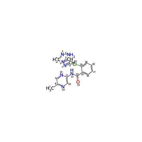 C#N.C#N.C=NN.Cc1cnc(NC(=O)c2ccccc2Cl)cn1